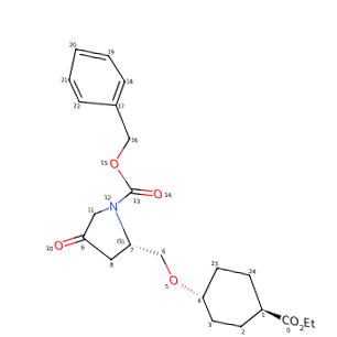 CCOC(=O)[C@H]1CC[C@H](OC[C@@H]2CC(=O)CN2C(=O)OCc2ccccc2)CC1